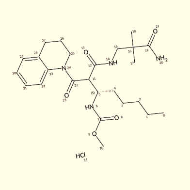 CCCCC[C@H](NC(=O)OC)C(C(=O)NCC(C)(C)C(N)=O)C(=O)N1CCCc2ccccc21.Cl